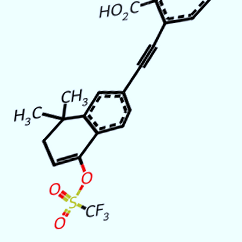 CC1(C)CC=C(OS(=O)(=O)C(F)(F)F)c2ccc(C#Cc3ccccc3C(=O)O)cc21